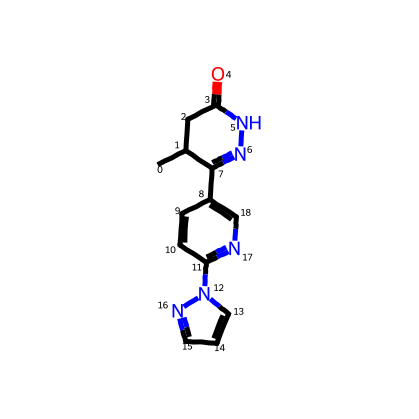 CC1CC(=O)NN=C1c1ccc(-n2cccn2)nc1